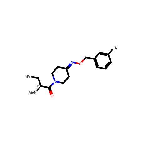 CN[C@@H](CC(C)C)C(=O)N1CCC(=NOCc2cccc(C#N)c2)CC1